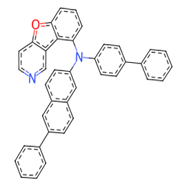 c1ccc(-c2ccc(N(c3ccc4cc(-c5ccccc5)ccc4c3)c3cccc4oc5ccncc5c34)cc2)cc1